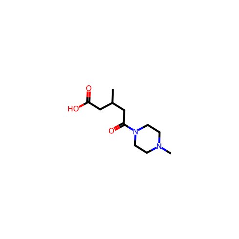 CC(CC(=O)O)CC(=O)N1CCN(C)CC1